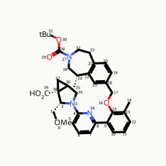 COC[C@H]1N(c2cccc(-c3cccc(C)c3OCc3ccc4c(c3)[C@H](C)CN(C(=O)OC(C)(C)C)CC4)n2)CC2C[C@@]21C(=O)O